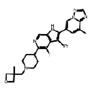 Cc1cc(-c2[nH]c3cnc(C4CCN(CC5(C)COC5)CC4)c(F)c3c2C(C)C)cn2ncnc12